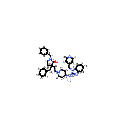 O=C1N(Cc2ccccc2)CCC1(CCN1CCC(Nc2nc3ccccc3n2Cc2ccncc2)CC1)Cc1ccccc1